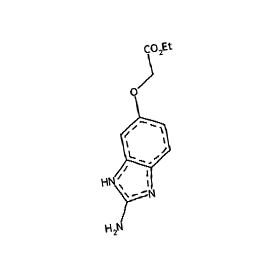 CCOC(=O)COc1ccc2nc(N)[nH]c2c1